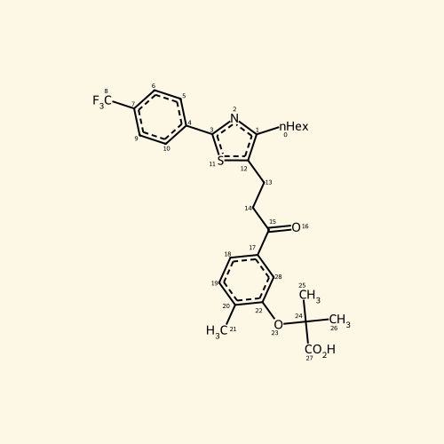 CCCCCCc1nc(-c2ccc(C(F)(F)F)cc2)sc1CCC(=O)c1ccc(C)c(OC(C)(C)C(=O)O)c1